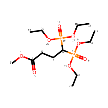 [CH2]OC(=O)CCC(P(=O)(OCC)OCC)P(=O)(OCC)OCC